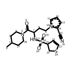 CC1CCN(C(=O)C(CCn2cccc2C#N)NS(=O)(=O)C2C=CSC2)CC1